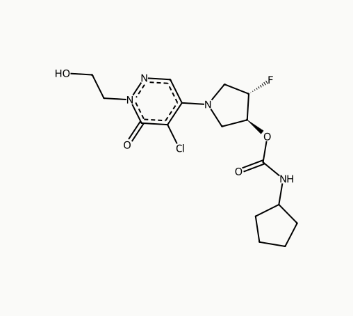 O=C(NC1CCCC1)O[C@H]1CN(c2cnn(CCO)c(=O)c2Cl)C[C@@H]1F